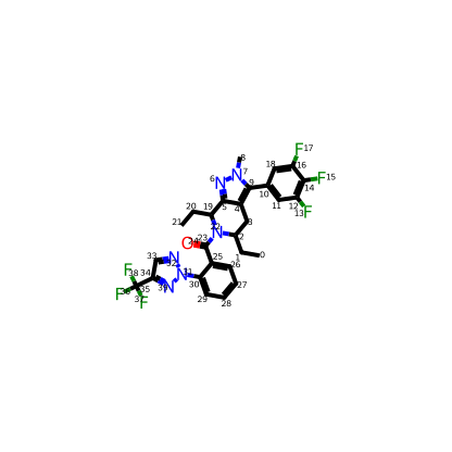 CCC1Cc2c(nn(C)c2-c2cc(F)c(F)c(F)c2)C(CC)N1C(=O)c1ccccc1-n1ncc(C(F)(F)F)n1